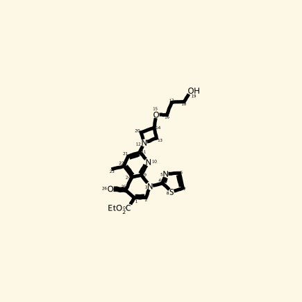 CCOC(=O)c1cn(-c2nccs2)c2nc(N3CC(OCCCO)C3)cc(C)c2c1=O